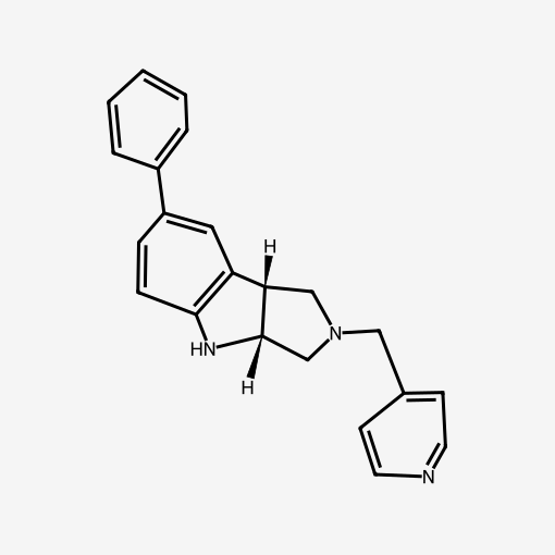 c1ccc(-c2ccc3c(c2)[C@@H]2CN(Cc4ccncc4)C[C@@H]2N3)cc1